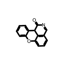 O=C1N=Cc2cccc3c2C1c1ccccc1O3